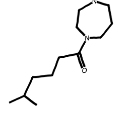 CC(C)CCCC(=O)N1CCCNCC1